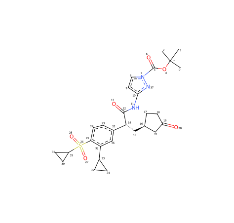 CC(C)(C)OC(=O)n1ccc(NC(=O)[C@H](C[C@H]2CCC(=O)C2)c2ccc(S(=O)(=O)C3CC3)c(C3CC3)c2)n1